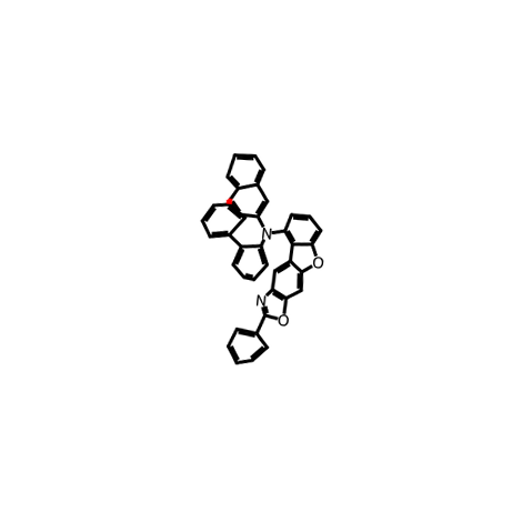 c1ccc(-c2nc3cc4c(cc3o2)oc2cccc(N(c3ccc5ccccc5c3)c3ccccc3-c3ccccc3)c24)cc1